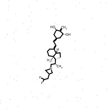 C=C1[C@H](O)CC(=C/C=C2\CCC[C@]3(C)[C@@H]([C@H](C)CN4CC(CC(F)F)C4)CC[C@@H]23)C[C@H]1O